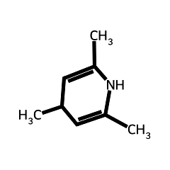 CC1=CC(C)C=C(C)N1